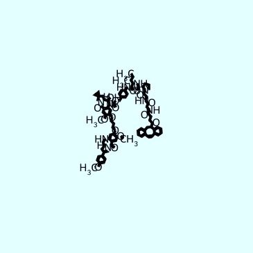 CC[C@H](C)[C@H](NC(=O)[C@@H]1CCCN1C(=O)CNC(=O)CNC(=O)CCC(=O)C1Cc2ccccc2C#Cc2ccccc21)C(=O)Nc1ccc(COC(=O)N2c3cc(OCCCOc4cc5c(cc4OC)C(=O)N4C=C(c6ccc(OC)cc6)C[C@H]4CN5)c(OC)cc3C(=O)N3CC4(CC4)C[C@H]3C2O)cc1